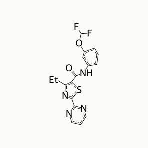 CCc1nc(-c2ncccn2)sc1C(=O)Nc1cccc(OC(F)F)c1